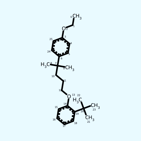 CCOc1ccc(C(C)(C)CCCOc2ccccc2C(C)(C)C)cc1